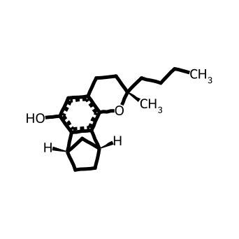 CCCC[C@@]1(C)CCc2cc(O)c3c(c2O1)[C@@H]1CC[C@H]3C1